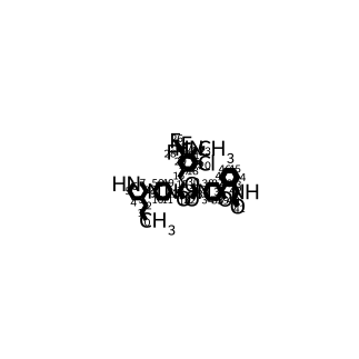 CCCC1CCNCC1N1CCN(C(=O)[C@@H](Cc2cc(Cl)c(NC)c(C(F)(F)F)c2)OC(=O)N2CCC3(CC2)OC(=O)Nc2ccccc23)CC1